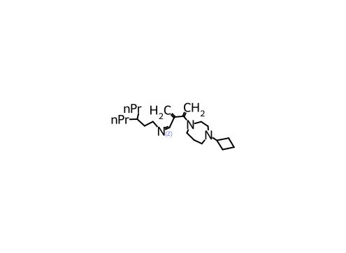 C=C(/C=N\CCC(CCC)CCC)C(=C)N1CCCN(C2CCC2)CC1